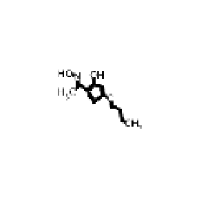 CCCCOc1ccc(/C(C)=N/O)c(O)c1